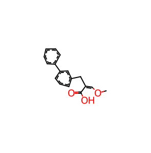 CO/C=C(/Cc1cccc(-c2ccccc2)c1)C(=O)O